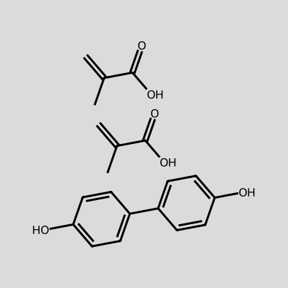 C=C(C)C(=O)O.C=C(C)C(=O)O.Oc1ccc(-c2ccc(O)cc2)cc1